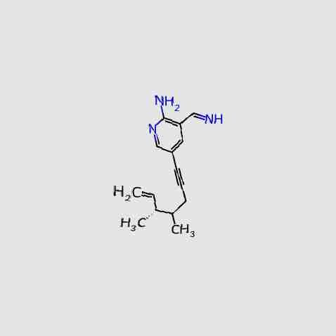 C=C[C@@H](C)C(C)CC#Cc1cnc(N)c(C=N)c1